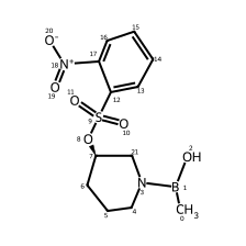 CB(O)N1CCC[C@@H](OS(=O)(=O)c2ccccc2[N+](=O)[O-])C1